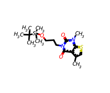 Cc1csc2c1c(=O)n(CCCO[Si](C)(C)C(C)(C)C)c(=O)n2C